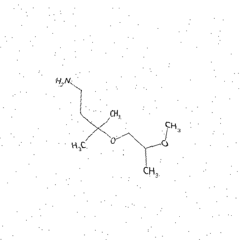 COC(C)COC(C)(C)CCN